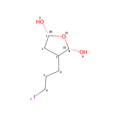 O[C@H]1CC(CCCI)[C@@H](O)O1